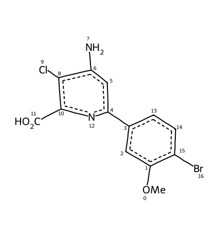 COc1cc(-c2cc(N)c(Cl)c(C(=O)O)n2)ccc1Br